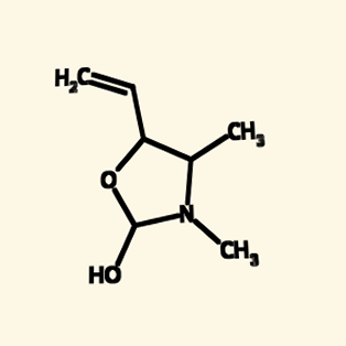 C=CC1OC(O)N(C)C1C